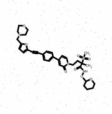 CC(CCn1ccc(-c2ccc(C#Cc3ccc(CN4CCOCC4)o3)cc2)cc1=O)(C(=O)NOC1CCCCO1)S(C)(=O)=O